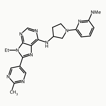 CCn1c(-c2cnc(C)nc2)nc2c(NC3CCN(c4cccc(NC)n4)C3)ncnc21